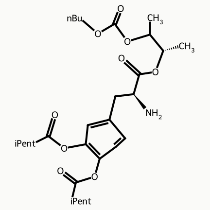 CCCCOC(=O)OC(C)[C@H](C)OC(=O)[C@@H](N)Cc1ccc(OC(=O)C(C)CCC)c(OC(=O)C(C)CCC)c1